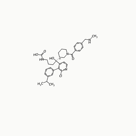 CNCc1ccc(C(=O)N2CCC[C@@H](C(O)(CCCNC(=O)O)c3ccnc(Cl)c3-c3cccc(C(C)C)c3)C2)cc1